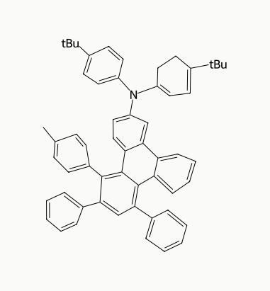 Cc1ccc(-c2c(-c3ccccc3)cc(-c3ccccc3)c3c4ccccc4c4cc(N(C5=CC=C(C(C)(C)C)CC5)c5ccc(C(C)(C)C)cc5)ccc4c23)cc1